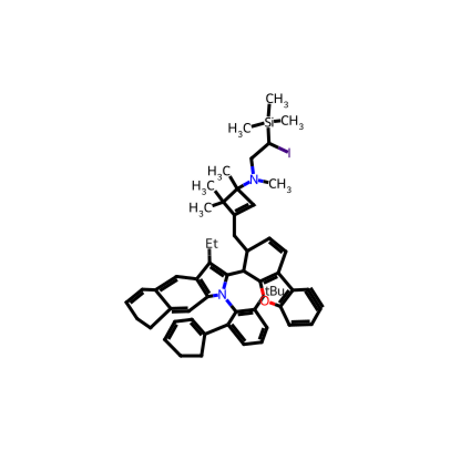 CCc1c(C2c3oc4ccc#cc4c3C=CC2CC2=CC(C)(N(C)CC(I)[Si](C)(C)C)C2(C)C)n(-c2c(C3=CC=CCC3)cccc2C(C)(C)C)c2cc3c(cc12)C=CCC3